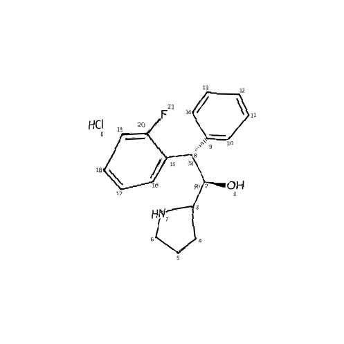 Cl.O[C@@H](C1CCCN1)[C@@H](c1ccccc1)c1ccccc1F